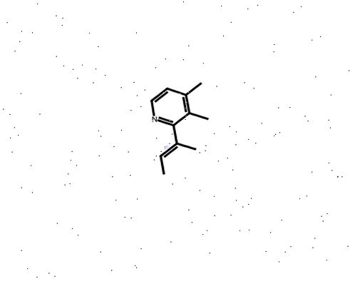 C/C=C(\C)c1nccc(C)c1C